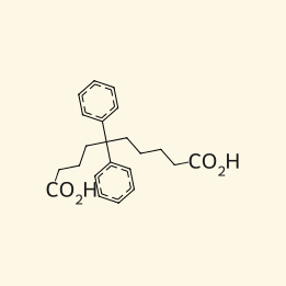 O=C(O)CCCCC(CCCC(=O)O)(c1ccccc1)c1ccccc1